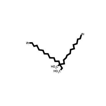 CC(C)CCCCCCCCCCCC(CCCCCCCCCCCC(C)C)(CC(=O)O)C(=O)O